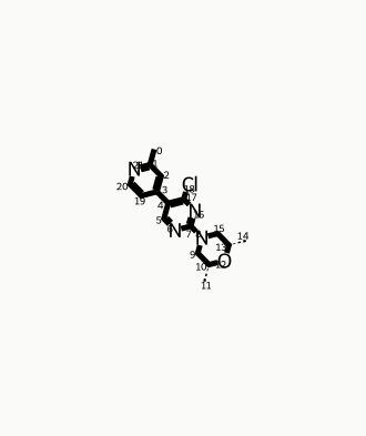 Cc1cc(-c2cnc(N3C[C@@H](C)O[C@@H](C)C3)nc2Cl)ccn1